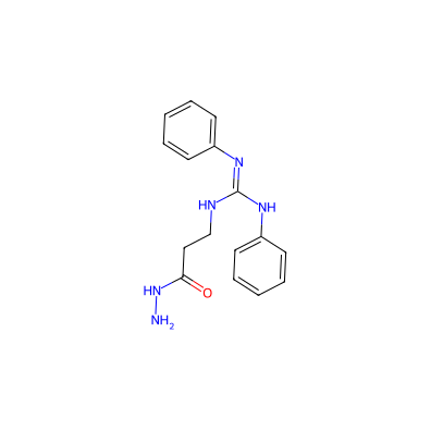 NNC(=O)CCN/C(=N\c1ccccc1)Nc1ccccc1